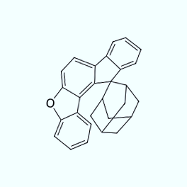 c1ccc2c(c1)-c1ccc3oc4ccccc4c3c1C21C2CC3CC(C2)CC1C3